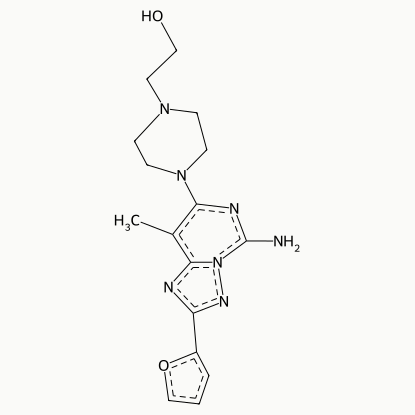 Cc1c(N2CCN(CCO)CC2)nc(N)n2nc(-c3ccco3)nc12